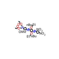 C=CC(=O)OCCN(CCOC(=O)C=C)c1ccc(/N=N/c2cc(OCC(CC)CCCC)c(/N=N/c3ccc([N+](=O)[O-])cc3[N+](=O)[O-])cc2OCC(CC)CCCC)c(OC)c1